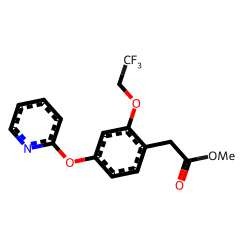 COC(=O)Cc1ccc(Oc2ccccn2)cc1OCC(F)(F)F